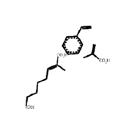 C=C(C)C(=O)O.C=Cc1ccccc1.CCCCCCCCCCCCCCC=C(C)C(=O)O